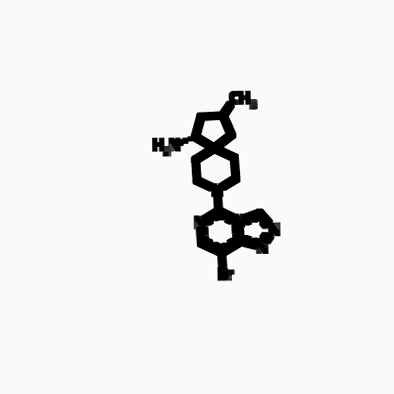 CC1C[C@@H](N)C2(CCN(c3ncc(Br)c4nncn34)CC2)C1